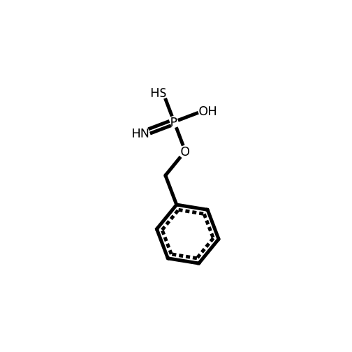 N=P(O)(S)OCc1ccccc1